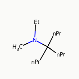 CCCC(CCC)(CCC)N(C)CC